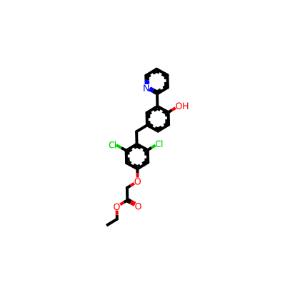 CCOC(=O)COc1cc(Cl)c(Cc2ccc(O)c(-c3ccccn3)c2)c(Cl)c1